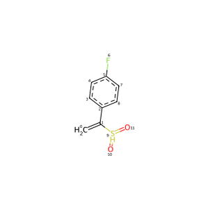 C=C(c1ccc(F)cc1)[SH](=O)=O